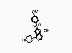 COc1ccc(S(=O)(=O)c2cc3c(N4CCNCC4)nccc3s2)cc1.Cl